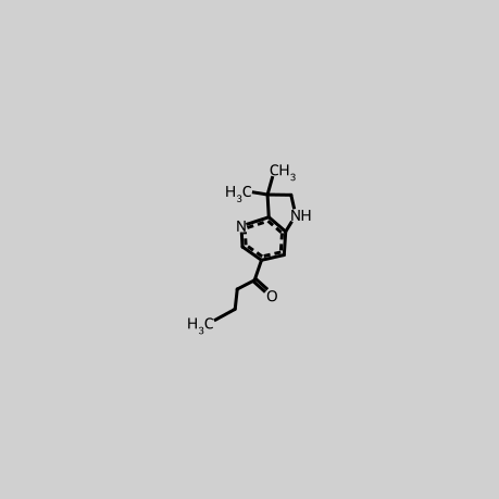 CCCC(=O)c1cnc2c(c1)NCC2(C)C